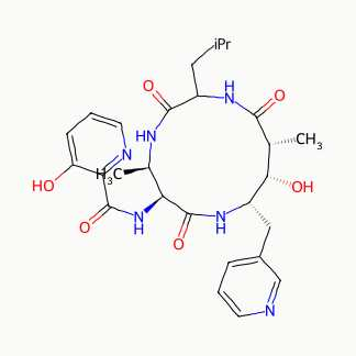 CC(C)CC1NC(=O)[C@H](C)[C@H](O)[C@H](Cc2cccnc2)NC(=O)[C@@H](NC(=O)c2ncccc2O)[C@@H](C)NC1=O